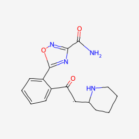 NC(=O)c1noc(-c2ccccc2C(=O)[CH]C2CCCCN2)n1